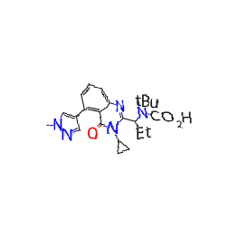 CC[C@@H](c1nc2cccc(-c3cnn(C)c3)c2c(=O)n1C1CC1)N(C(=O)O)C(C)(C)C